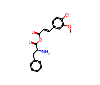 COc1cc(C=CC(=O)OC(=O)[C@@H](N)Cc2ccccc2)ccc1O